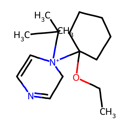 CCOC1([N+]2(C(C)(C)C)C=CN=CC2)CCCCC1